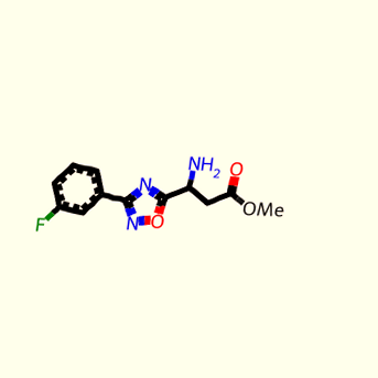 COC(=O)CC(N)c1nc(-c2cccc(F)c2)no1